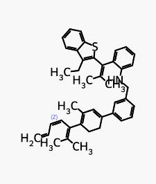 C=C/C=C\C(=C(C)C)C1=C(C)C=C(c2cccc(CNc3ccccc3C(=C(C)C)c3sc4ccccc4c3CC)c2)CC1